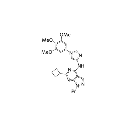 COc1cc(-n2cnc(Nc3nc(C4CCC4)nc4c3cnn4C(C)C)c2)cc(OC)c1OC